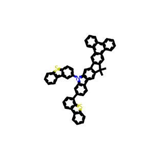 CC1(C)c2cc3c4ccccc4c4ccccc4c3cc2-c2cc3c(cc21)c1ccc(-c2cccc4c2sc2ccccc24)cc1n3-c1ccc2sc3ccccc3c2c1